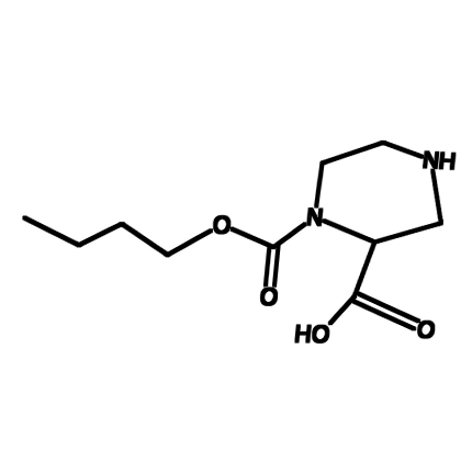 CCCCOC(=O)N1CCNCC1C(=O)O